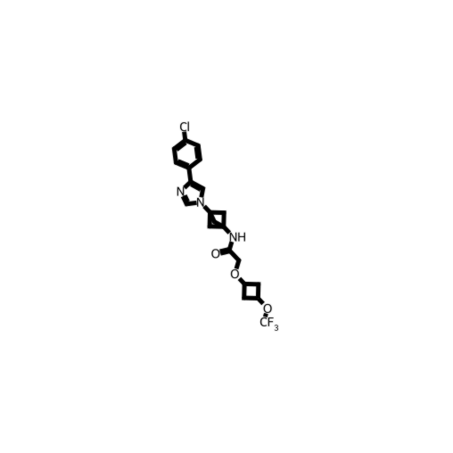 O=C(COC1CC(OC(F)(F)F)C1)NC12CC(n3cnc(-c4ccc(Cl)cc4)c3)(C1)C2